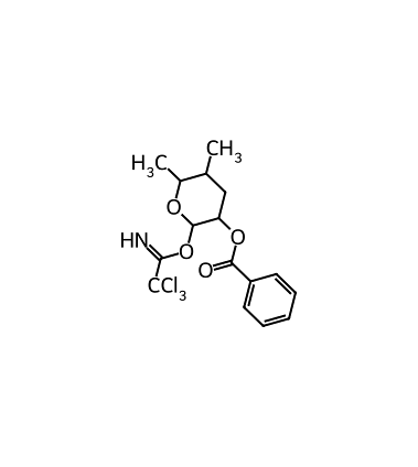 CC1CC(OC(=O)c2ccccc2)C(OC(=N)C(Cl)(Cl)Cl)OC1C